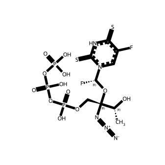 C[C@@H](O)[C@](COP(=O)(O)OP(=O)(O)OP(=O)(O)O)(N=[N+]=[N-])O[C@H](F)n1cc(F)c(=S)[nH]c1=S